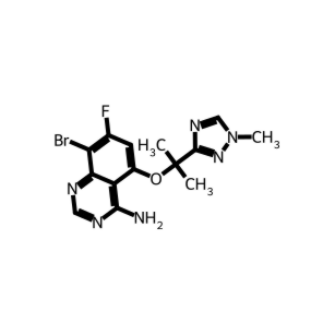 Cn1cnc(C(C)(C)Oc2cc(F)c(Br)c3ncnc(N)c23)n1